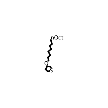 CCCCCCCCCCCCCCCCOC1CCSC1